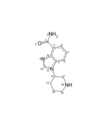 NC(=O)c1cccc2c1ncn2C1CCCNC1